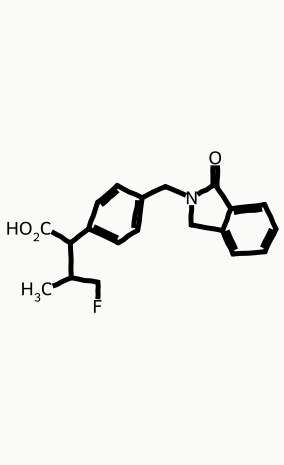 CC(CF)C(C(=O)O)c1ccc(CN2Cc3ccccc3C2=O)cc1